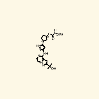 CC[C@H](C)NC(=O)O[C@@H]1CC[C@H](c2cc(Nc3nccn4nc(C(C)(C)O)cc34)n[nH]2)C1